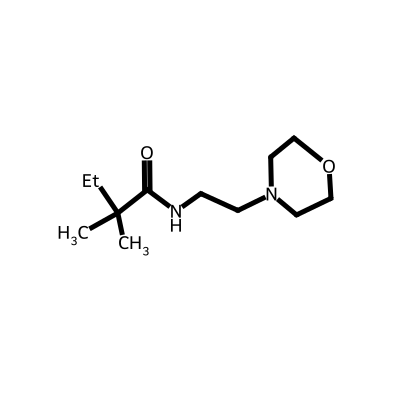 CCC(C)(C)C(=O)NCCN1CCOCC1